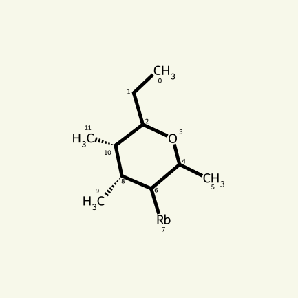 CCC1OC(C)[CH]([Rb])[C@H](C)[C@@H]1C